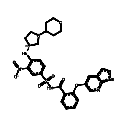 O=C(NS(=O)(=O)c1ccc(N[C@@H]2CCN(C3CCOCC3)C2)c([N+](=O)[O-])c1)c1ccccc1Oc1cnc2[nH]ccc2c1